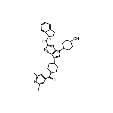 Cc1cc(C(=O)N2CCC(c3cn(C4CCC(O)CC4)c4nc(N[C@@H]5CCc6ccccc65)ncc34)CC2)cc(C)n1